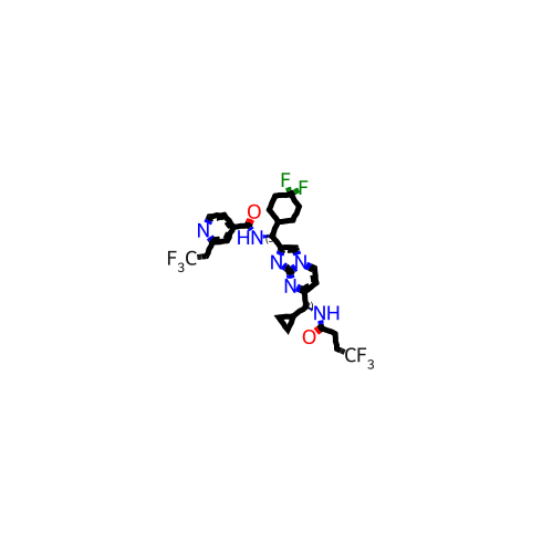 O=C(CCC(F)(F)F)N[C@@H](c1ccn2cc([C@@H](NC(=O)c3ccnc(CC(F)(F)F)c3)C3CCC(F)(F)CC3)nc2n1)C1CC1